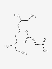 CCC(C)CCC(CC(C)CC)OC(=O)C=CC(=O)O